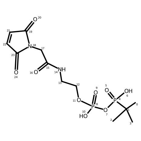 CC(C)(C)P(=O)(O)OP(=O)(O)OCCNC(=O)CN1C(=O)C=CC1=O